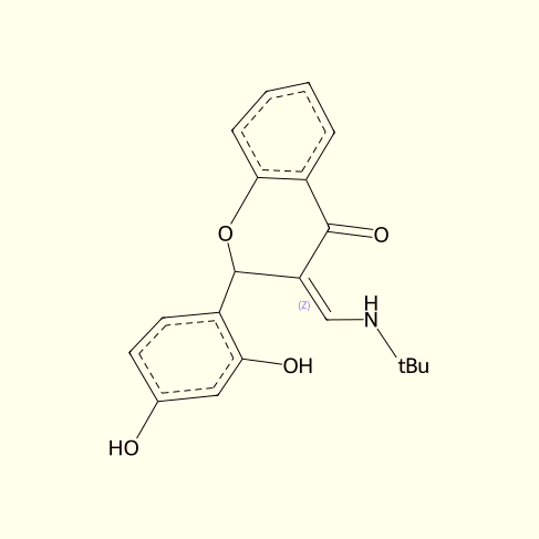 CC(C)(C)N/C=C1\C(=O)c2ccccc2OC1c1ccc(O)cc1O